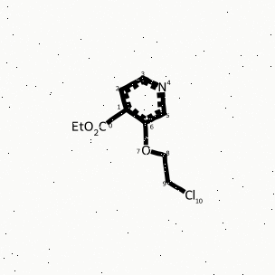 CCOC(=O)c1ccncc1OCCCl